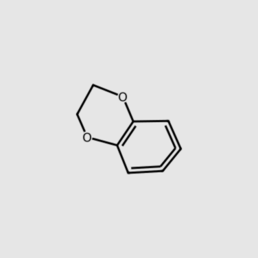 C1=C=CC2=C(C=1)OCCO2